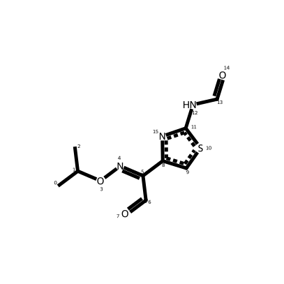 CC(C)O/N=C(\[C]=O)c1csc(NC=O)n1